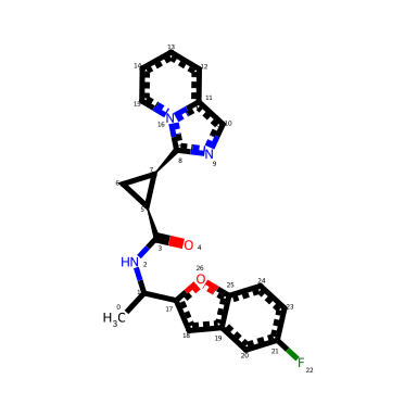 CC(NC(=O)[C@H]1C[C@H]1c1ncc2ccccn12)c1cc2cc(F)ccc2o1